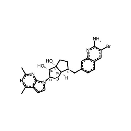 Cc1nc(C)c2ccn([C@@H]3O[C@@H]4[C@H](Cc5ccc6cc(Br)c(N)nc6c5)CC[C@]4(O)[C@H]3O)c2n1